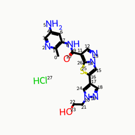 Cc1ncc(N)cc1NC(=O)c1cnn2cc(-c3cnn(CCO)c3)sc12.Cl